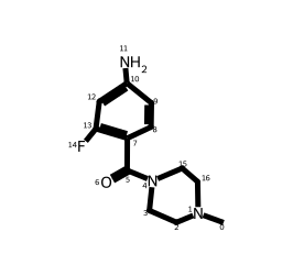 CN1CCN(C(=O)c2ccc(N)cc2F)CC1